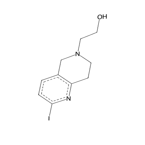 OCCN1CCc2nc(I)ccc2C1